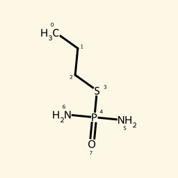 CCCSP(N)(N)=O